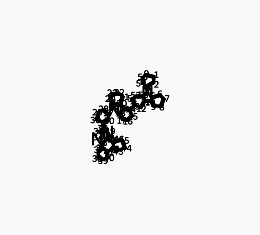 c1ccc(-n2c3ccccc3c3cc(-c4cccc5c4c4ccccc4n5-c4cccc(-c5cnc6c7ccccc7c7ccccc7c6n5)c4)ccc32)cc1